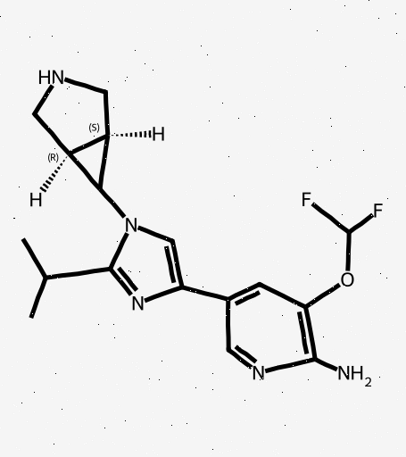 CC(C)c1nc(-c2cnc(N)c(OC(F)F)c2)cn1C1[C@H]2CNC[C@@H]12